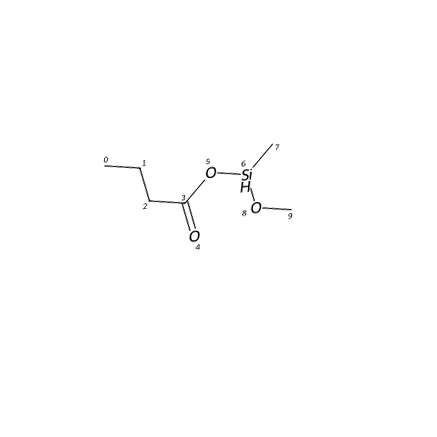 CCCC(=O)O[SiH](C)OC